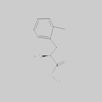 COC(=O)[C@@H](N)Cc1ccccc1I